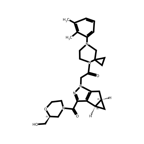 Cc1cccc(N2CCN(C(=O)Cn3nc(C(=O)N4CCO[C@H](CO)C4)c4c3C[C@H]3C[C@@H]43)C3(CC3)C2)c1C